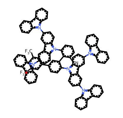 N#Cc1cccc(-n2c3ccc(-n4c5ccccc5c5ccccc54)cc3c3cc(-n4c5ccccc5c5ccccc54)ccc32)c1-c1cc(-c2cc(C(F)(F)F)cc(C(F)(F)F)c2)ccc1-n1c2ccc(-n3c4ccccc4c4ccccc43)cc2c2cc(-n3c4ccccc4c4ccccc43)ccc21